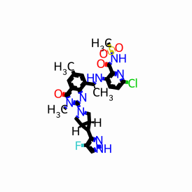 Cc1cc([C@@H](C)Nc2ccc(Cl)nc2C(=O)NS(C)(=O)=O)c2nc(N3C[C@@H]4C(c5n[nH]cc5F)[C@@H]4C3)n(C)c(=O)c2c1